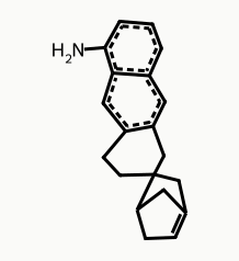 Nc1cccc2cc3c(cc12)CCC1(CC2=CCC1C2)C3